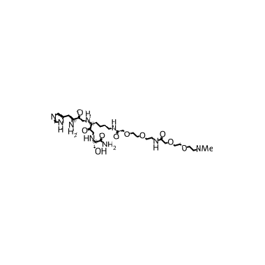 CNCCOCCOCC(=O)NCCOCCOCC(=O)NCCCC[C@H](NCC(=O)[C@@H](N)Cc1cnc[nH]1)C(=O)CN[C@@H](CO)C(N)=O